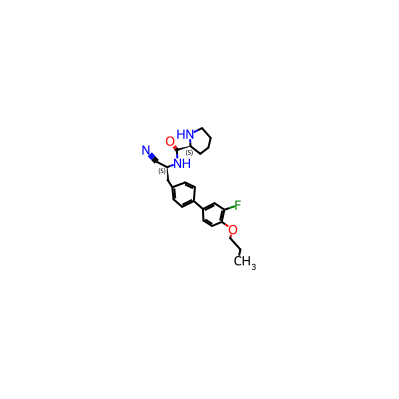 CCCOc1ccc(-c2ccc(C[C@@H](C#N)NC(=O)[C@@H]3CCCCN3)cc2)cc1F